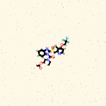 CCN(CCOC(C)=O)C(=O)n1c([S+]([O-])Cc2nccc(OCC(F)(F)F)c2C)nc2ccccc21